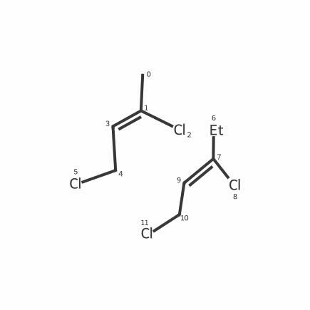 CC(Cl)=CCCl.CCC(Cl)=CCCl